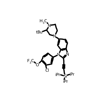 CC(C)[Si](C#Cc1nc2ccc(N3CCN(C)C(C(C)(C)C)C3)cc2n1-c1ccc(OC(F)(F)F)c(Cl)c1)(C(C)C)C(C)C